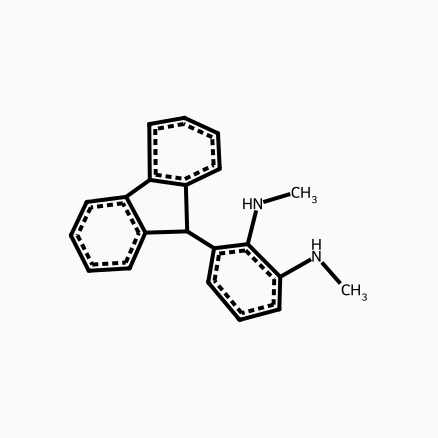 CNc1cccc(C2c3ccccc3-c3ccccc32)c1NC